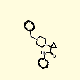 O=C(Nc1ccccn1)C1(N2CCN(Cc3ccccc3)CC2)CC1